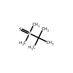 CC(C)(C)P(C)(C)=S